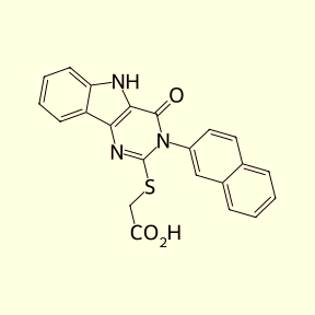 O=C(O)CSc1nc2c([nH]c3ccccc32)c(=O)n1-c1ccc2ccccc2c1